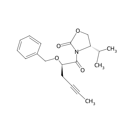 CC#CC[C@@H](OCc1ccccc1)C(=O)N1C(=O)OC[C@@H]1C(C)C